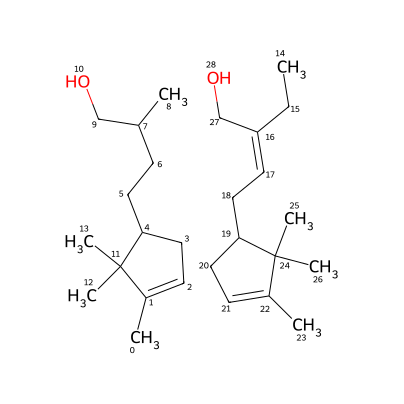 CC1=CCC(CCC(C)CO)C1(C)C.CCC(=CCC1CC=C(C)C1(C)C)CO